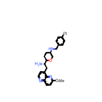 CCc1ccc(CNC2CCC([C@@H](N)Cc3ccnc4ccc(OC)nc34)OC2)cc1